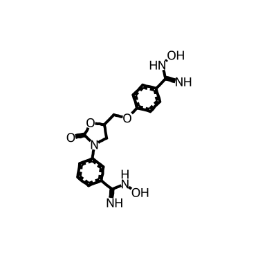 N=C(NO)c1ccc(OCC2CN(c3cccc(C(=N)NO)c3)C(=O)O2)cc1